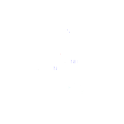 N#Cc1cccc(NC(=O)C2C(c3cccc(Cl)c3F)CCN2CC2CC2)c1